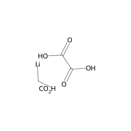 O=C(O)C(=O)O.[Li][CH2]C(=O)O